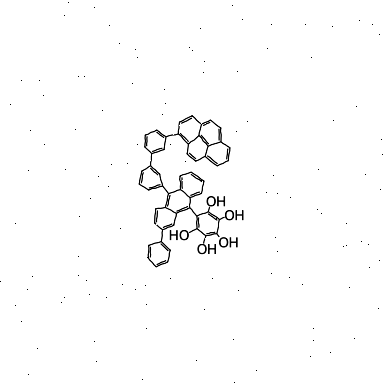 Oc1c(O)c(O)c(-c2c3ccccc3c(-c3cccc(-c4cccc(-c5ccc6ccc7cccc8ccc5c6c78)c4)c3)c3ccc(-c4ccccc4)cc23)c(O)c1O